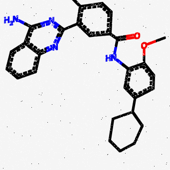 COc1ccc(C2CCCCC2)cc1NC(=O)c1ccc(C)c(-c2nc(N)c3ccccc3n2)c1